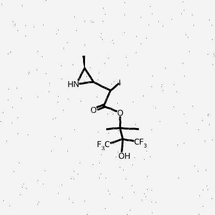 C[C@@H]1NC1C(I)C(=O)OC(C)(C)C(O)(C(F)(F)F)C(F)(F)F